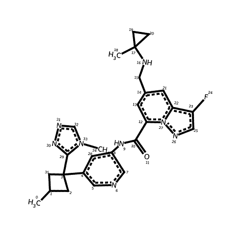 CC1CC(c2cncc(NC(=O)c3cc(CNC4(C)CC4)cc4c(F)cnn34)c2)(c2nncn2C)C1